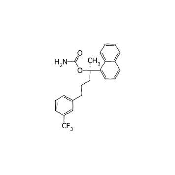 C[C@](CCCc1cccc(C(F)(F)F)c1)(OC(N)=O)c1cccc2ccccc12